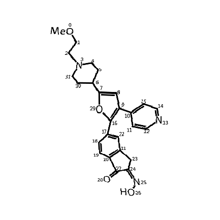 COCCN1CCC(c2cc(-c3ccncc3)c(-c3ccc4c(c3)CC(=NO)C4=O)o2)CC1